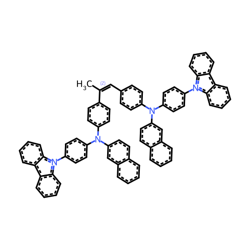 C/C(=C/c1ccc(N(c2ccc(-n3c4ccccc4c4ccccc43)cc2)c2ccc3ccccc3c2)cc1)c1ccc(N(c2ccc(-n3c4ccccc4c4ccccc43)cc2)c2ccc3ccccc3c2)cc1